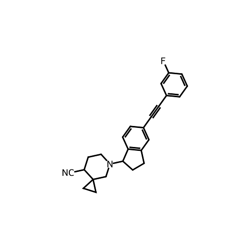 N#CC1CCN(C2CCc3cc(C#Cc4cccc(F)c4)ccc32)CC12CC2